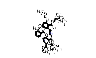 COCOc1cc(OC)cc(/C=C/C[C@@H]2OC(C)(C)OC2C(/C=C\CC(C)OC)OC(=O)c2ccccc2)c1C(=O)OCC[Si](C)(C)C